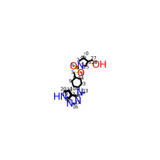 C[C@H]1CN(S(=O)(=O)CC2CCC(N(C)c3ncnc4[nH]ccc34)CC2)CC1CO